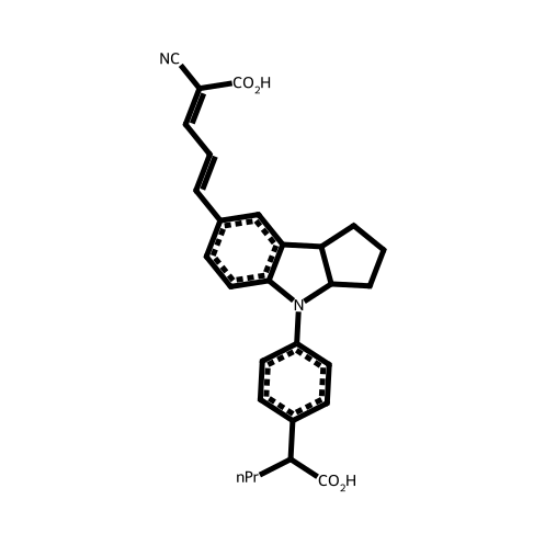 CCCC(C(=O)O)c1ccc(N2c3ccc(C=CC=C(C#N)C(=O)O)cc3C3CCCC32)cc1